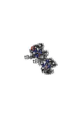 CC(C)(C)c1ccc(N2c3ccc(C(C)(C)C)cc3B3c4cc5c(cc4N(c4ccc6c(c4)C(C)(C)CCC6(C)C)c4cc(N(c6ccccc6)c6cccc(CC(C)(C)c7ccc8c(c7)B7c9cc%10c(cc9N(c9ccc%11c(c9)C(C)(C)CCC%11(C)C)c9cc(N%11c%12ccccc%12Oc%12ccccc%12%11)cc(c97)N8c7ccc(C(C)(C)C)cc7)C(C)(C)CCC%10(C)C)c6)cc2c43)C(C)(C)CCC5(C)C)cc1